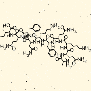 CC[C@H](C)[C@H](NC(=O)[C@H](CCC(N)=O)NC(=O)[C@H](Cc1ccccc1)NC(=O)[C@H](CC(N)=O)NC(=O)[C@H](CCCCN)NC(=O)[C@H](Cc1ccccc1)NC(=O)[C@H](CCC(N)=O)NC(=O)[C@H](CCCCN)NC(=O)[C@H](CCC(N)=O)NC(=O)[C@H](C)N)C(=O)O